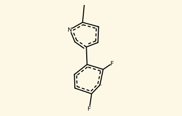 Cc1ccc(-c2ccc(F)[c]c2F)cn1